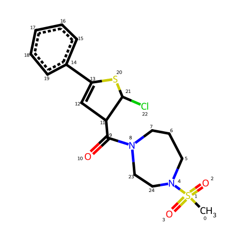 CS(=O)(=O)N1CCCN(C(=O)C2C=C(c3ccccc3)SC2Cl)CC1